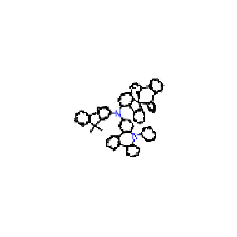 CC1(C)c2ccccc2-c2ccc(N(c3ccc4c(c3)-c3ccccc3-c3ccccc3N4c3ccccc3)c3cccc4c3-c3ccccc3C43c4ccccc4-c4ccccc4-c4ccccc43)cc21